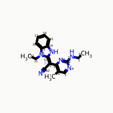 CCNc1ncc(C)c(/C(C#N)=C2\Nc3ccccc3N2CC)n1